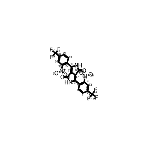 O=C1NC(c2ccc(C(F)(F)F)cc2[N+](=O)[O-])=C2C(=O)NC(c3ccc(C(F)(F)F)cc3[N+](=O)[O-])=C12